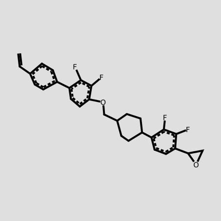 C=Cc1ccc(-c2ccc(OCC3CCC(c4ccc(C5CO5)c(F)c4F)CC3)c(F)c2F)cc1